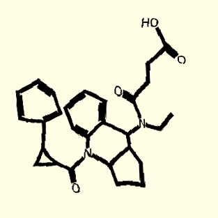 CCN(C(=O)CCC(=O)O)C1c2ccccc2N(C(=O)C2CC2c2ccccc2)C2CCCC12